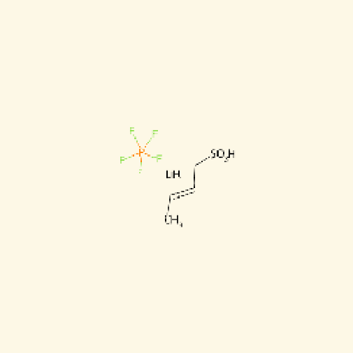 C/C=C/CS(=O)(=O)O.FP(F)(F)(F)F.[LiH]